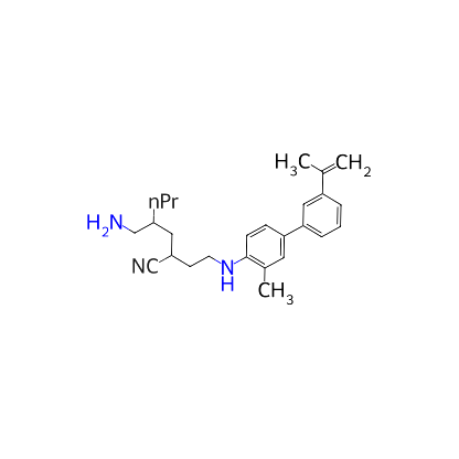 C=C(C)c1cccc(-c2ccc(NCCC(C#N)CC(CN)CCC)c(C)c2)c1